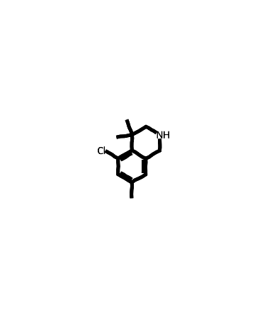 Cc1cc(Cl)c2c(c1)CNCC2(C)C